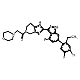 CCc1cc(O)c(F)cc1-c1cc(F)c2c(-c3nc4c([nH]3)CCN(C(=O)CN3CCOCC3)C4)n[nH]c2c1